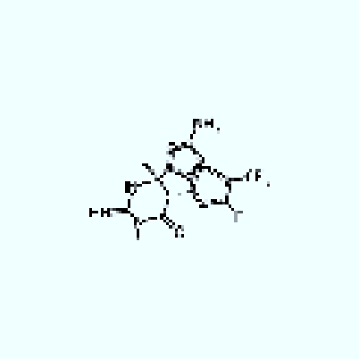 CN1C(=N)N[C@](C)(c2ccc(N)s2)[C@H](c2ccc(C(F)(F)F)c(F)c2)C1=O